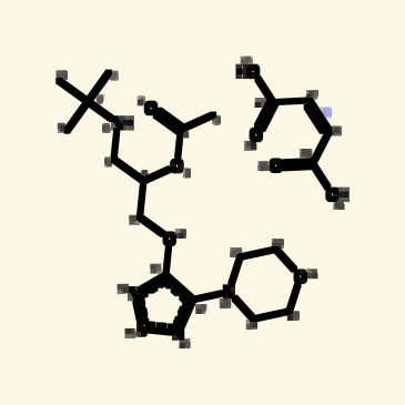 CC(=O)OC(CNC(C)(C)C)COc1nsnc1N1CCOCC1.O=C(O)/C=C\C(=O)O